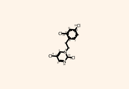 ClC1=CN(CCc2ccc(Cl)cc2Cl)C(Cl)N=C1